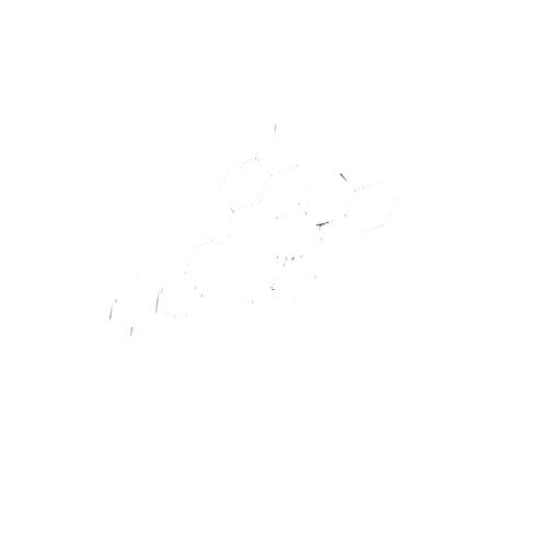 C[C@H]1CCCC[C@H]1C(=O)N1CCc2c(Cl)ccc(OCc3noc4c(F)c(F)ccc34)c2[C@H]1CN1CCCC1=O